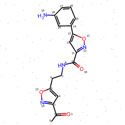 CC(=O)c1cc(CCNC(=O)c2cc(-c3cccc(N)c3)on2)on1